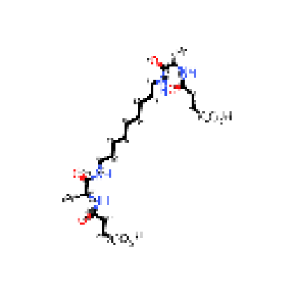 CC(C)[C@H](NC(=O)CCC(=O)O)C(=O)NCCCCCCCCCNC(=O)[C@@H](NC(=O)CCC(=O)O)C(C)C